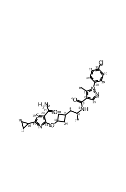 Cc1c(C(=O)N[C@@H](C)CC2CC(Oc3nc(C4CC4)sc3C(N)=O)C2)cnn1-c1ccc(Cl)cc1